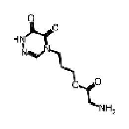 NCC(=O)OCCCn1[c]n[nH]c(=O)c1=O